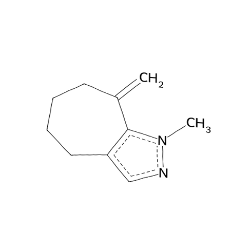 C=C1CCCCc2cnn(C)c21